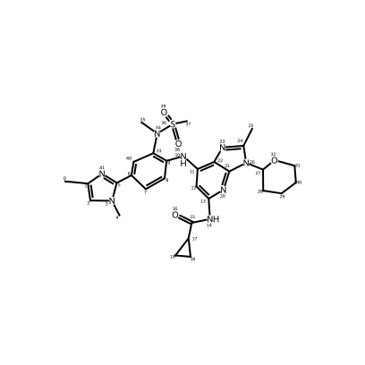 Cc1cn(C)c(-c2ccc(Nc3cc(NC(=O)C4CC4)nc4c3nc(C)n4C3CCCCO3)c(N(C)S(C)(=O)=O)c2)n1